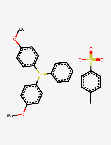 CCC(C)Oc1ccc([S+](c2ccccc2)c2ccc(OC(C)CC)cc2)cc1.Cc1ccc(S(=O)(=O)[O-])cc1